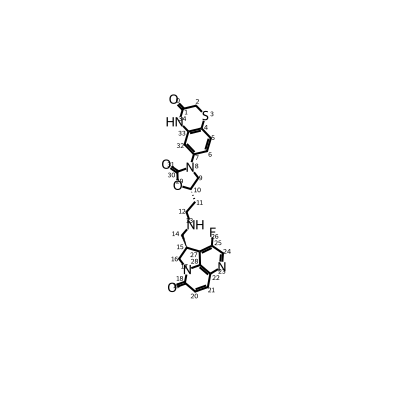 O=C1CSc2ccc(N3C[C@H](CCNC[C@@H]4Cn5c(=O)ccc6ncc(F)c4c65)OC3=O)cc2N1